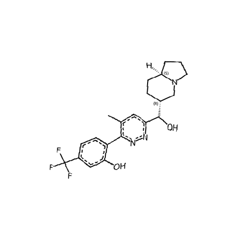 Cc1cc(C(O)[C@@H]2CC[C@H]3CCCN3C2)nnc1-c1ccc(C(F)(F)F)cc1O